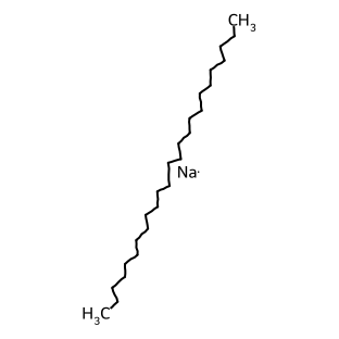 CCCCCCCCCCCCCCCCCCCCCCCCC.[Na]